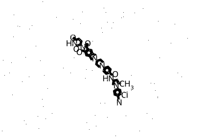 C[C@H]1C[C@H](NC(=O)c2ccc(N3CCC(N4Cc5cc6c(cc5C4)C(=O)N(C4CCC(=O)NC4=O)C6=O)CC3)cc2)CN1c1ccc(C#N)c(Cl)c1